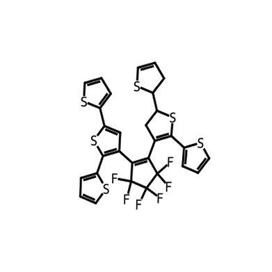 FC1(F)C(C2=C(c3cccs3)SC(C3CC=CS3)C2)=C(c2cc(-c3cccs3)sc2-c2cccs2)C(F)(F)C1(F)F